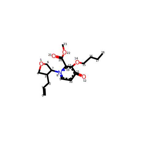 C=CCC1COCC1n1ccc(=O)c(OCCCC)c1C(=O)OC